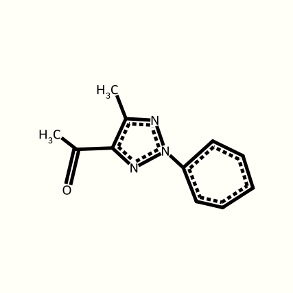 CC(=O)c1nn(-c2ccccc2)nc1C